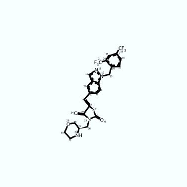 O=C1S/C(=C\c2ccc3c(cnn3Cc3ccc(C(F)(F)F)cc3C(F)(F)F)c2)C(=O)N1C[C@@H]1COCCN1